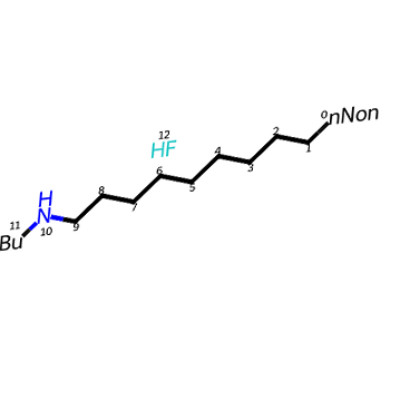 CCCCCCCCCCCCCCCCCCNCCCC.F